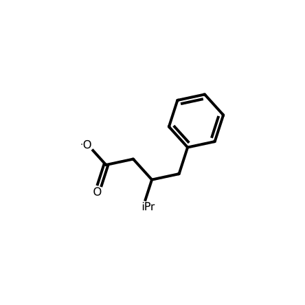 CC(C)C(CC([O])=O)Cc1ccccc1